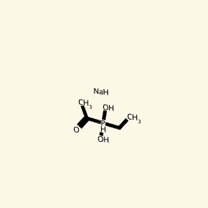 CC[PH](O)(O)C(C)=O.[NaH]